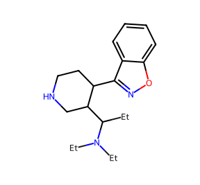 CCC(C1CNCCC1c1noc2ccccc12)N(CC)CC